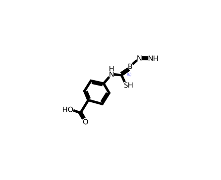 N=N/B=C(/S)Nc1ccc(C(=O)O)cc1